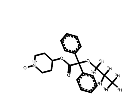 [2H]C([2H])([2H])C([2H])([2H])C([2H])([2H])OC(C(=O)OC1CC[NH+]([O-])CC1)(c1ccccc1)c1ccccc1